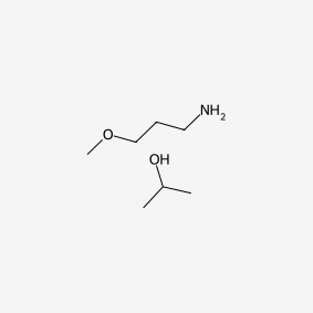 CC(C)O.COCCCN